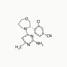 Cc1cc(N2CCCOC[C@@H]2c2ccc(C#N)cc2Cl)nc(N)n1